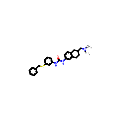 CN(C)CC1CCc2cc(NC(=O)Nc3cccc(SCc4ccccc4)c3)ccc2C1